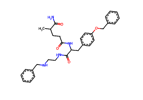 CC(C[CH]C(=O)NC(Cc1ccc(OCc2ccccc2)cc1)C(=O)NCCNCc1ccccc1)C(N)=O